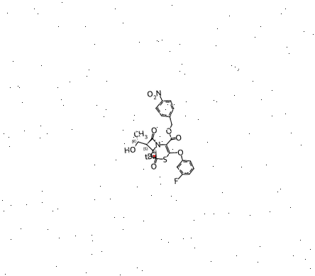 C[C@@H](O)[C@H]1C(=O)N(C(C(=O)OCc2ccc([N+](=O)[O-])cc2)=C(Oc2cccc(F)c2)SC(=O)C(C)(C)C)[C@H]1Cl